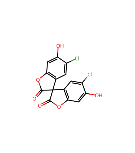 O=C1Oc2cc(O)c(Cl)cc2C12C(=O)Oc1cc(O)c(Cl)cc12